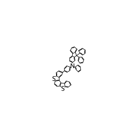 c1ccc(N(c2ccc(-c3ccc4sc5ccc6sc7ccccc7c6c5c4c3)cc2)c2ccc3c(c2)C(c2ccccc2)(c2ccccc2)c2ccccc2-3)cc1